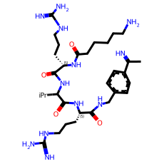 CC(=N)c1ccc(CNC(=O)[C@H](CCCNC(=N)N)NC(=O)C(NC(=O)[C@H](CCCNC(=N)N)NC(=O)CCCCCN)C(C)C)cc1